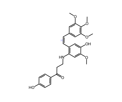 COc1cc(NCCC(=O)c2ccc(O)cc2)c(/C=C\c2cc(OC)c(OC)c(OC)c2)cc1O